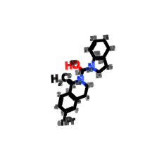 C=C1c2ccc(CCC)cc2CCN1C(O)N1CCC2=C1C=CCC2